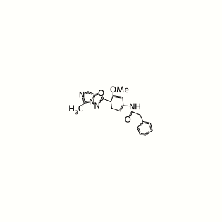 COC1=CC(NC(=O)Cc2ccccc2)=CCC1c1nn2c(C)ncc2o1